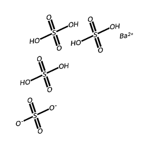 O=S(=O)(O)O.O=S(=O)(O)O.O=S(=O)(O)O.O=S(=O)([O-])[O-].[Ba+2]